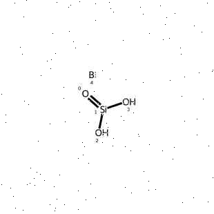 O=[Si](O)O.[B]